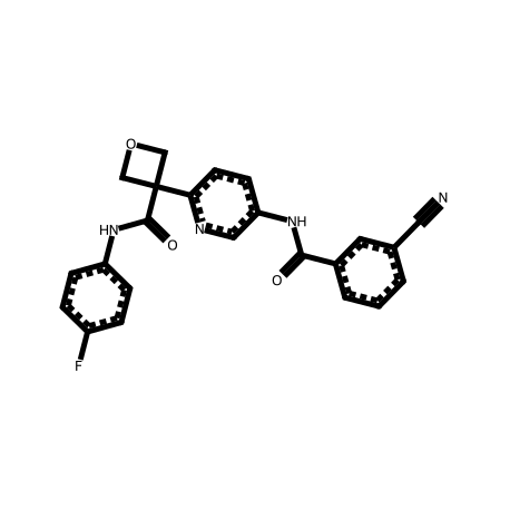 N#Cc1cccc(C(=O)Nc2ccc(C3(C(=O)Nc4ccc(F)cc4)COC3)nc2)c1